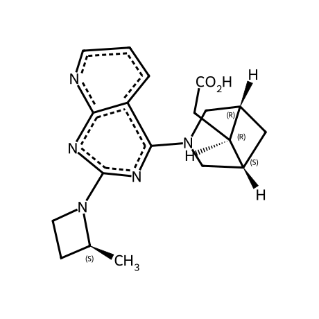 C[C@H]1CCN1c1nc(N2C[C@H]3C[C@@H](C2)[C@@H]3CC(=O)O)c2cccnc2n1